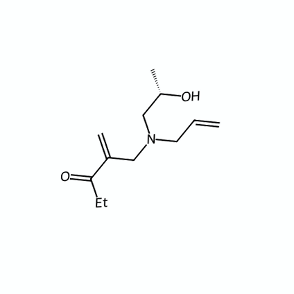 C=CCN(CC(=C)C(=O)CC)C[C@H](C)O